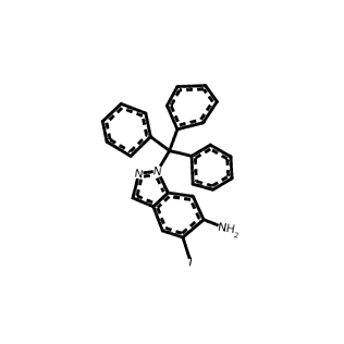 Nc1cc2c(cnn2C(c2ccccc2)(c2ccccc2)c2ccccc2)cc1I